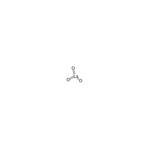 [O]=[La](=[O])=[O]